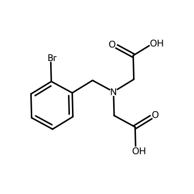 O=C(O)CN(CC(=O)O)Cc1ccccc1Br